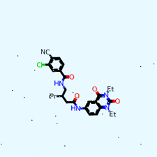 CCn1c(=O)c2cc(NC(=O)CC(CNC(=O)c3ccc(C#N)c(Cl)c3)C(C)C)ccc2n(CC)c1=O